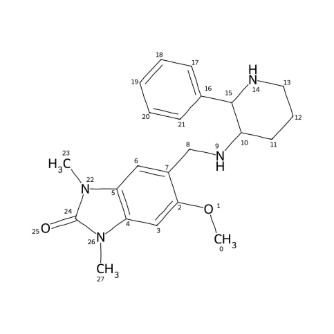 COc1cc2c(cc1CNC1CCCNC1c1ccccc1)n(C)c(=O)n2C